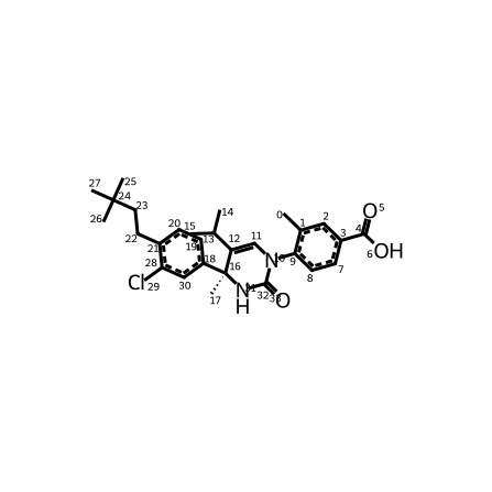 Cc1cc(C(=O)O)ccc1N1C=C(C(C)C)[C@](C)(c2ccc(CCC(C)(C)C)c(Cl)c2)NC1=O